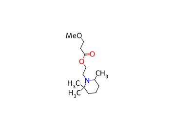 COCCC(=O)OCCN1C(C)CCCC1(C)C